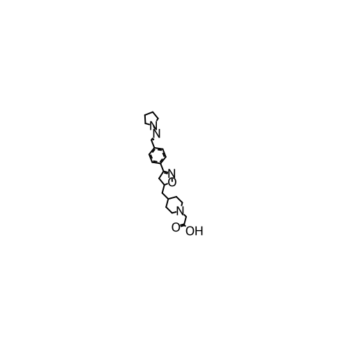 O=C(O)CN1CCC(CC2CC(c3ccc(C=NN4CCCC4)cc3)=NO2)CC1